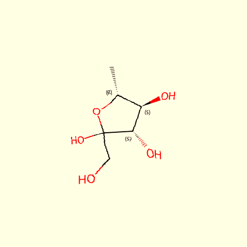 C[C@H]1OC(O)(CO)[C@@H](O)[C@@H]1O